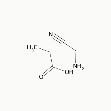 CCC(=O)O.N#CCN